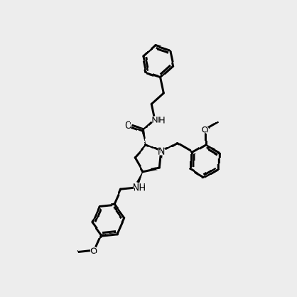 COc1ccc(CN[C@H]2C[C@@H](C(=O)NCCc3ccccc3)N(Cc3ccccc3OC)C2)cc1